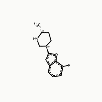 C[C@@H]1CC[C@@H](c2nc3cccc(F)c3o2)CN1